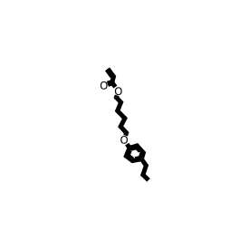 C=CC(=O)OCCCCCCOc1ccc(CCC)cc1